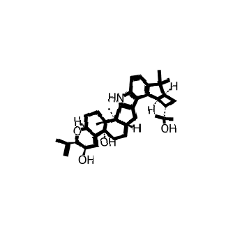 C=C(C)[C@H]1O[C@H]2CC[C@@]3(C)[C@@](O)(CC[C@H]4Cc5c([nH]c6ccc7c(c56)[C@@H]5[C@@H](C(C)(C)O)C[C@@H]5C7(C)C)[C@@]43C)C2=C[C@H]1O